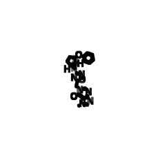 Cn1cnc2ncn(Cc3nc([C@@H]4[C@H]5CC[C@H](Oc6ccccc6)[C@H]54)no3)c(=O)c21